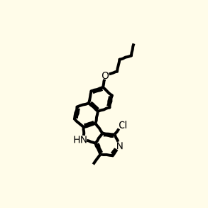 CCCCOc1ccc2c(ccc3[nH]c4c(C)cnc(Cl)c4c32)c1